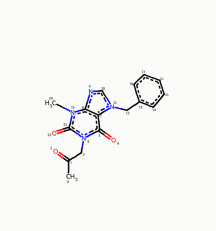 CC(=O)Cn1c(=O)c2c(ncn2Cc2ccccc2)n(C)c1=O